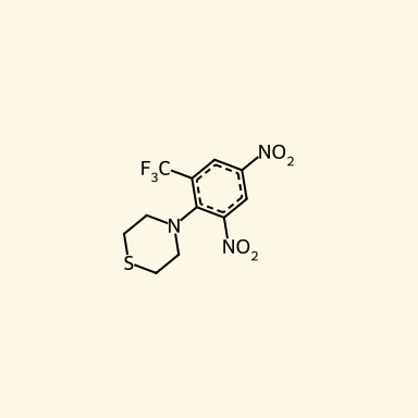 O=[N+]([O-])c1cc([N+](=O)[O-])c(N2CCSCC2)c(C(F)(F)F)c1